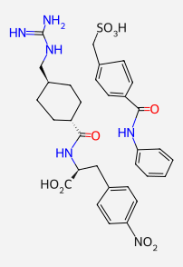 N=C(N)NC[C@H]1CC[C@H](C(=O)N[C@@H](Cc2ccc([N+](=O)[O-])cc2)C(=O)O)CC1.O=C(Nc1ccccc1)c1ccc(CS(=O)(=O)O)cc1